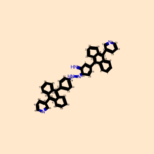 N=C1C=C(c2c3ccccc3c(-c3cccnc3)c3ccccc23)C=C/C1=N/Nc1ccc(-c2c3ccccc3c(-c3cccnc3)c3ccccc23)cc1